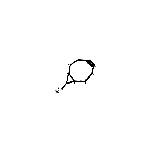 CNC1C2CCC#CCCC21